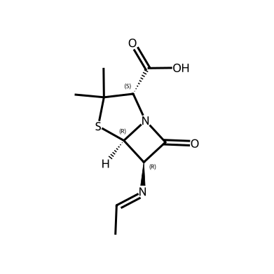 CC=N[C@@H]1C(=O)N2[C@@H]1SC(C)(C)[C@@H]2C(=O)O